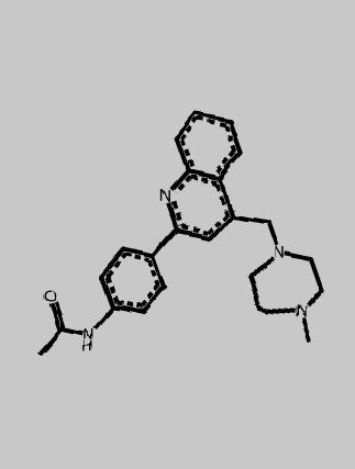 CC(=O)Nc1ccc(-c2cc(CN3CCN(C)CC3)c3ccccc3n2)cc1